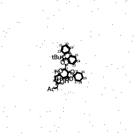 CC(=O)C[C@H]1CC[C@@H]2O[C@@H](CO[Si](c3ccccc3)(c3ccccc3)C(C)(C)C)C3OC4(CCCCC4)O[C@H]3[C@H]2O1